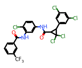 O=C(Nc1cc(NC(=O)C2C(c3cc(Cl)cc(Cl)c3)C2(Cl)Cl)ccc1Cl)c1cccc(C(F)(F)F)c1